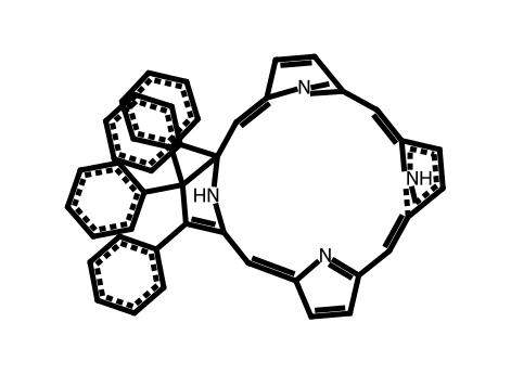 C1=CC2=NC1=CC1=C(c3ccccc3)C(c3ccccc3)(c3ccccc3)C(c3ccccc3)(C=C3C=CC(=N3)C=c3ccc([nH]3)=C2)N1